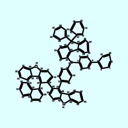 c1ccc(-c2ccc(N(c3ccc(-c4c(-c5ccc6oc7ccccc7c6c5-c5cccc6ccccc56)ccc5oc6ccccc6c45)cc3)c3cccc4c3-c3ccccc3C4(c3ccccc3)c3ccccc3)cc2)cc1